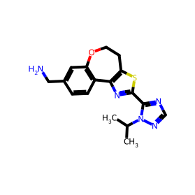 CC(C)n1ncnc1-c1nc2c(s1)CCOc1cc(CN)ccc1-2